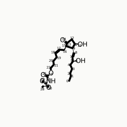 CCCCC[C@H](O)/C=C/[C@H]1[C@H](O)CC(=O)[C@@H]1C/C=C\CCCCOC(=O)NS(C)(=O)=O